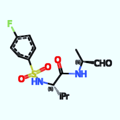 CC(C)[C@H](NS(=O)(=O)c1ccc(F)cc1)C(=O)N[C@@H](C)C=O